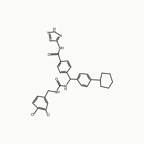 O=C(NCc1ccc(Cl)c(Cl)c1)NC(c1ccc(C(=O)Nc2nn[nH]n2)cc1)c1ccc(C2CCCCC2)cc1